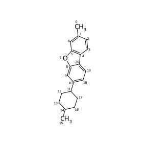 Cc1ccc2c(c1)oc1cc(C3CCC(C)CC3)ccc12